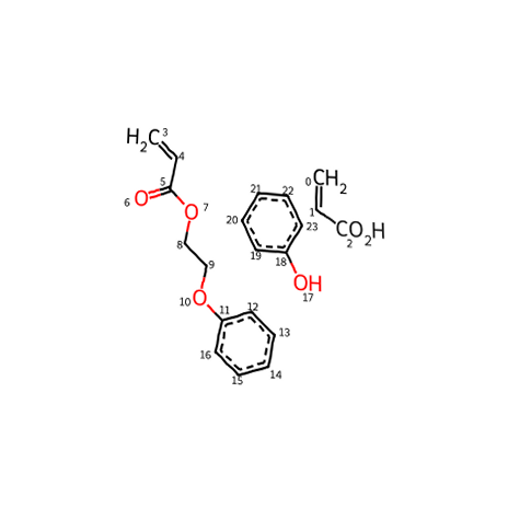 C=CC(=O)O.C=CC(=O)OCCOc1ccccc1.Oc1ccccc1